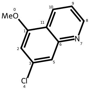 COc1cc(Cl)cc2ncccc12